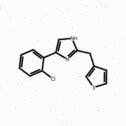 Clc1ccccc1-c1c[nH]c(Cc2ccsc2)n1